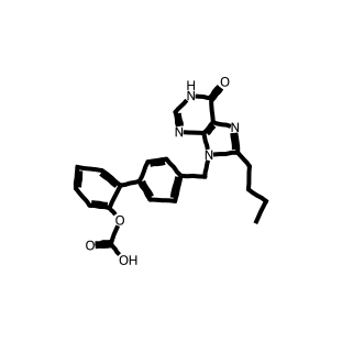 CCCCc1nc2c(=O)[nH]cnc2n1Cc1ccc(-c2ccccc2OC(=O)O)cc1